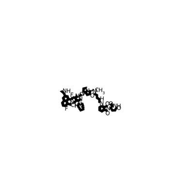 C#Cc1c(F)ccc2cc(C3CN3)cc(-c3ncc4c(N5CC6CCC(C5)N6)nc(OC[C@]56CCCN5[C@H](CN(C)C(=O)CCCCNc5cccc7c5C(=O)N(C5CCC(=O)NC5=O)C7=O)CC6)nc4c3F)c12